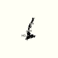 CN(C)c1ccc2c(-c3ccc(C(=O)NCCCn4cc(CNCCCN=[N+]=[N-])nn4)cc3C(=O)O)c3ccc(=[N+](C)C)cc-3oc2c1